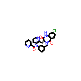 O=C(Nc1cccc(CN2C(=O)c3ccc(Cl)cc3NC(=O)[C@H]2Cc2ccccn2)c1)c1ccccn1